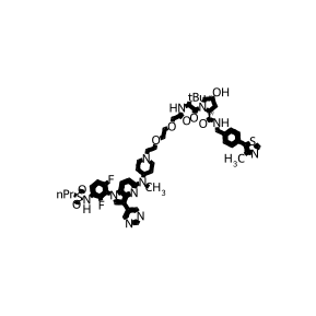 CCCS(=O)(=O)Nc1ccc(F)c(-n2cc(-c3cncnc3)c3nc(N(C)C4CCN(CCOCCOCC(=O)NC(C(=O)N5C[C@H](O)C[C@H]5C(=O)NCc5ccc(-c6scnc6C)cc5)C(C)(C)C)CC4)ccc32)c1F